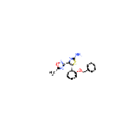 Cc1nc(-c2nc(N)sc2-c2ccccc2OCc2ccccc2)no1